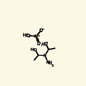 CC(O)N(N)C(C)O.O=[N+]([O-])O